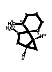 C[C@H]1C[C@@H]2C[C@@H]2[C@]12OCCCN2C